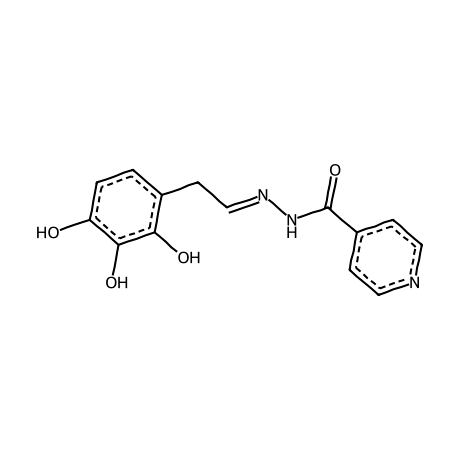 O=C(NN=CCc1ccc(O)c(O)c1O)c1ccncc1